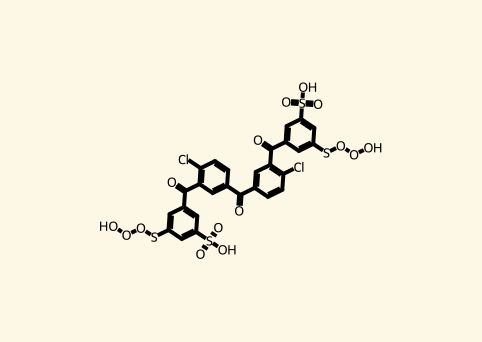 O=C(c1ccc(Cl)c(C(=O)c2cc(SOOO)cc(S(=O)(=O)O)c2)c1)c1ccc(Cl)c(C(=O)c2cc(SOOO)cc(S(=O)(=O)O)c2)c1